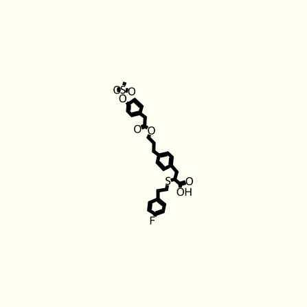 CS(=O)(=O)Oc1ccc(CC(=O)OCCCc2ccc(CC(SCCc3ccc(F)cc3)C(=O)O)cc2)cc1